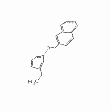 CCc1cccc(OCc2ccc3ccccc3c2)c1